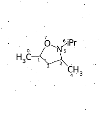 CC1CC(C)N(C(C)C)O1